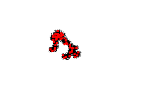 CC1(C)c2cc(-c3ccc(N(c4ccc(-c5ccc6oc7ccccc7c6c5)cc4)c4ccccc4-c4cccc(-c5cccc6ccccc56)c4)cc3)ccc2-c2ccc(-c3ccc(-c4cccc(-c5ccccc5N(c5ccc(-c6ccc7oc8ccccc8c7c6)cc5)c5cccc6c5-c5ccccc5C6(c5ccccc5)c5ccccc5)c4)c4ccccc34)cc21